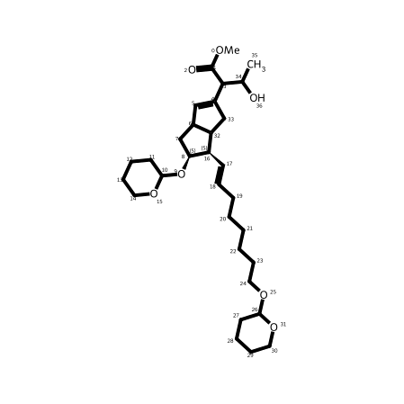 COC(=O)C(C1=CC2C[C@H](OC3CCCCO3)[C@H](C=CCCCCCCOC3CCCCO3)C2C1)C(C)O